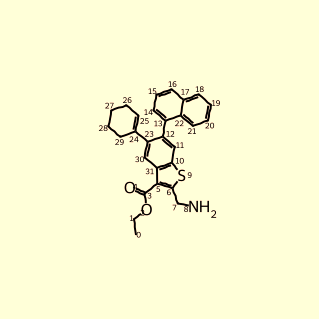 CCOC(=O)c1c(CN)sc2cc(-c3cccc4ccccc34)c(C3=CCCCC3)cc12